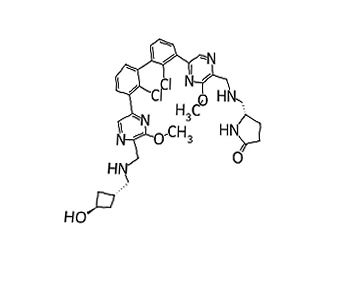 COc1nc(-c2cccc(-c3cccc(-c4cnc(CNC[C@H]5C[C@H](O)C5)c(OC)n4)c3Cl)c2Cl)cnc1CNC[C@@H]1CCC(=O)N1